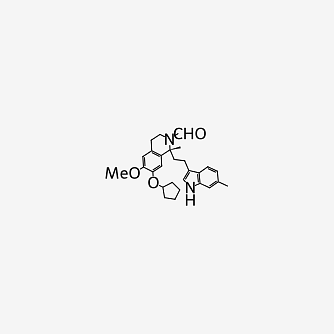 COc1cc2c(cc1OC1CCCC1)[C@@](C)(CCc1c[nH]c3cc(C)ccc13)N(C=O)CC2